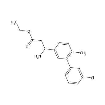 CCOC(=O)CC(N)c1ccc(C)c(-c2cccc(Cl)c2)c1